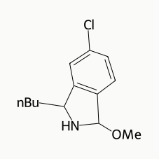 CCCCC1NC(OC)c2ccc(Cl)cc21